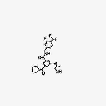 CC1(C=N)C=C1c1cc(C(=O)NCC2=CCC(=C(F)F)C(F)=C2)cc(C(=O)N2CCCC2)c1